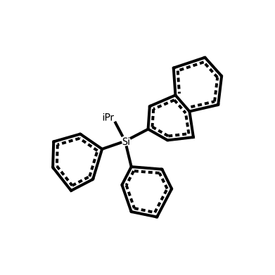 CC(C)[Si](c1ccccc1)(c1ccccc1)c1ccc2ccccc2c1